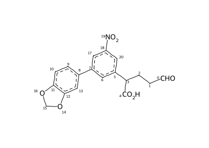 O=CCCC(C(=O)O)c1cc(-c2ccc3c(c2)OCO3)cc([N+](=O)[O-])c1